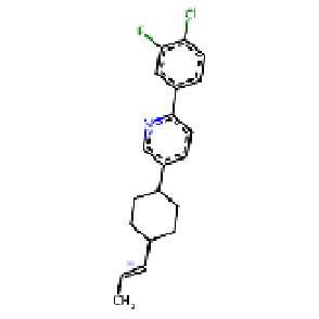 C/C=C/C1CCC(c2ccc(-c3ccc(Cl)c(F)c3)nc2)CC1